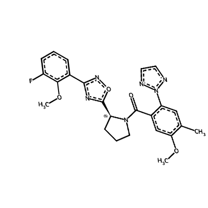 COc1cc(C(=O)N2CCC[C@H]2c2nc(-c3cccc(F)c3OC)no2)c(-n2nccn2)cc1C